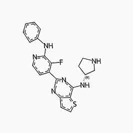 Fc1c(-c2nc(N[C@@H]3CCNC3)c3sccc3n2)ccnc1Nc1ccccc1